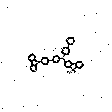 CC1(C)c2ccccc2-c2cc(N(c3ccc(-c4ccccc4)cc3)c3ccc(-c4ccc(-n5c6ccccc6c6ccncc65)cc4)cc3)ccc21